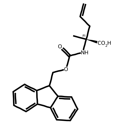 C=CC[C@@](C)(NC(=O)OCC1c2ccccc2-c2ccccc21)C(=O)O